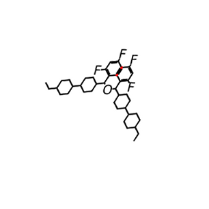 CCC1CCC(C2CCC(C(OC(c3ccc(F)cc3F)C3CCC(C4CCC(CC)CC4)CC3)c3ccc(F)cc3F)CC2)CC1